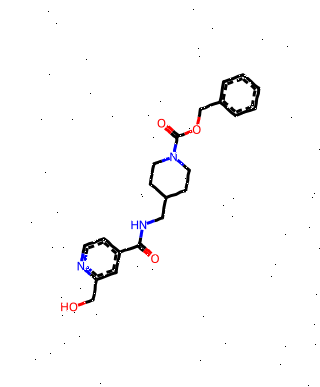 O=C(NCC1CCN(C(=O)OCc2ccccc2)CC1)c1ccnc(CO)c1